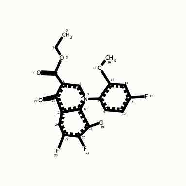 CCOC(=O)c1cn(-c2ccc(F)cc2OC)c2c(Cl)c(F)c(F)cc2c1=O